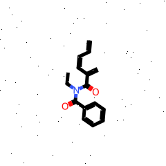 C=C/C=C\C(=C)C(=O)N(CC)C(=O)c1ccccc1